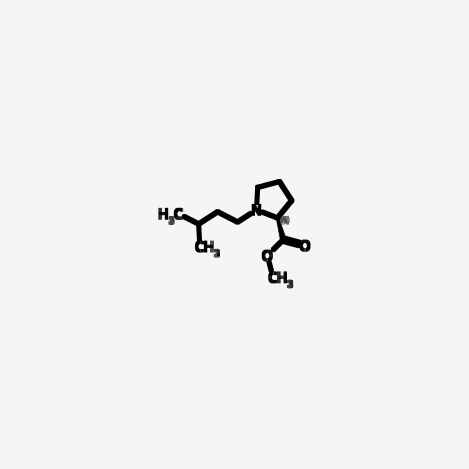 COC(=O)[C@@H]1CCCN1CCC(C)C